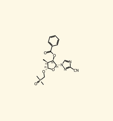 C[C@@H]1[C@@H](OCP(C)(C)=O)O[C@@H](n2cnc(C#N)n2)[C@@H]1OC(=O)c1ccccc1